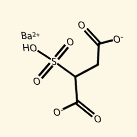 O=C([O-])CC(C(=O)[O-])S(=O)(=O)O.[Ba+2]